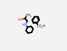 CC(O)CNC1CCCCC1.O=C(O)c1ccccc1